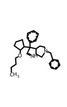 CCCCOC1CCCC1C(C=N)(c1ccccc1)C1CCN(Cc2ccccc2)CC1